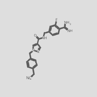 N#CCc1ccc(Cn2cc(C(=O)NCc3ccc(C(=N)N)c(F)c3)cn2)cc1